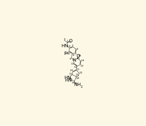 CC(=O)Nc1cccc(Cn2cc(C3=CC4NNC(N)C4CC3)ccc2=O)c1F